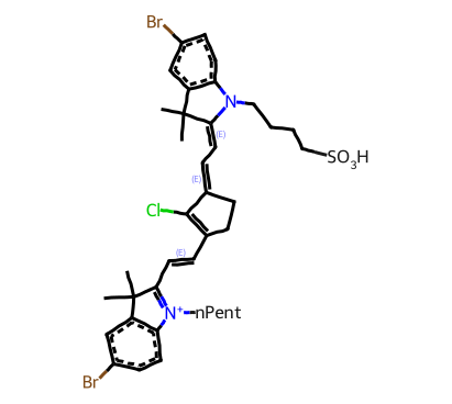 CCCCC[N+]1=C(/C=C/C2=C(Cl)C(=C/C=C3/N(CCCCS(=O)(=O)O)c4ccc(Br)cc4C3(C)C)/CC2)C(C)(C)c2cc(Br)ccc21